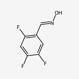 ON=Cc1cc(F)c(F)cc1F